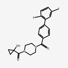 O=C(c1ccc(-c2cc(F)ccc2F)cc1)N1CCN(C(=O)C2(O)CC2)CC1